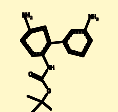 CC(C)(C)OC(=O)Nc1ccc(N)cc1-c1cccc(N)c1